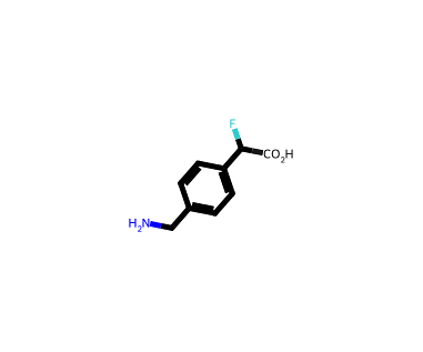 NCc1ccc(C(F)C(=O)O)cc1